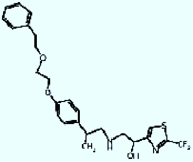 CC(CNCC(O)c1csc(C(F)(F)F)n1)c1ccc(OCCOCCc2ccccc2)cc1